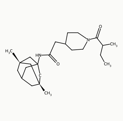 CCC(C)C(=O)N1CCC(CC(=O)NC23CC4C[C@@](C)(C2)C[C@](C)(C4)C3)CC1